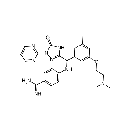 Cc1cc(OCCN(C)C)cc(C(Nc2ccc(C(=N)N)cc2)c2nn(-c3ncccn3)c(=O)[nH]2)c1